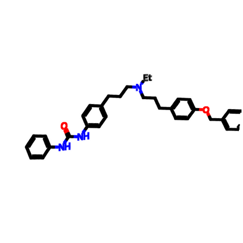 CCN(CCCc1ccc(NC(=O)Nc2ccccc2)cc1)CCCc1ccc(OCc2ccccc2)cc1